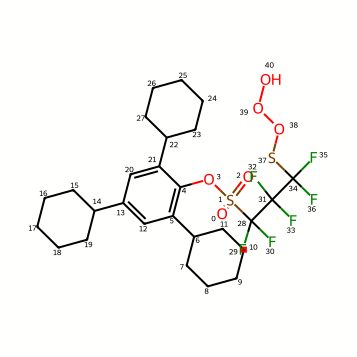 O=S(=O)(Oc1c(C2CCCCC2)cc(C2CCCCC2)cc1C1CCCCC1)C(F)(F)C(F)(F)C(F)(F)SOOO